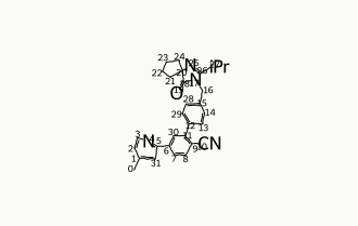 Cc1ccnc(-c2ccc(C#N)c(-c3ccc(CN4C(=O)C5(CCCC5)N=C4C(C)C)cc3)c2)c1